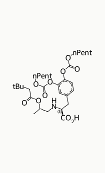 CCCCCOC(=O)Oc1ccc(C[C@H](NCC(C)OC(=O)CC(C)(C)C)C(=O)O)cc1OC(=O)OCCCCC